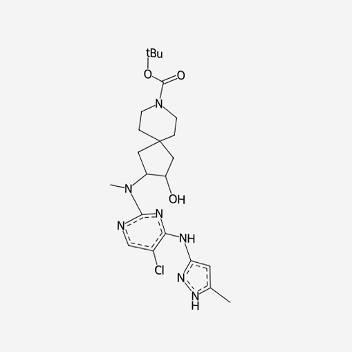 Cc1cc(Nc2nc(N(C)C3CC4(CCN(C(=O)OC(C)(C)C)CC4)CC3O)ncc2Cl)n[nH]1